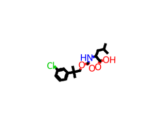 CC(C)CC(NC(=O)OCC(C)(C)c1cccc(Cl)c1)C(=O)O